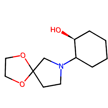 O[C@H]1CCCCC1N1CCC2(C1)OCCO2